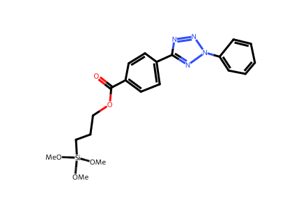 CO[Si](CCCOC(=O)c1ccc(-c2nnn(-c3ccccc3)n2)cc1)(OC)OC